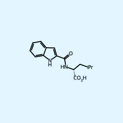 CC(C)C[C@@H](NC(=O)c1cc2ccccc2[nH]1)C(=O)O